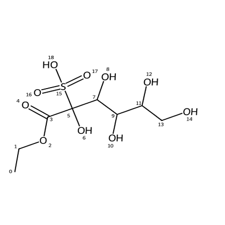 CCOC(=O)C(O)(C(O)C(O)C(O)CO)S(=O)(=O)O